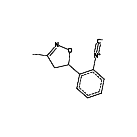 [C-]#[N+]c1ccccc1C1CC(C)=NO1